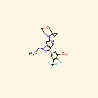 CCn1nc(-c2cc(C(F)(F)F)c(F)c(O)c2F)c2cnc(N3CCOCC34CC4)cc21